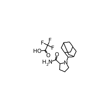 NC(=O)C1CCCN1C1C2CC3CC(C2)CC1C3.O=C(O)C(F)(F)F